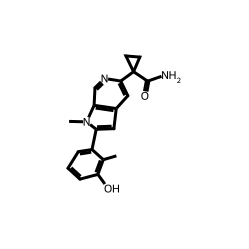 Cc1c(O)cccc1-c1cc2cc(C3(C(N)=O)CC3)ncc2n1C